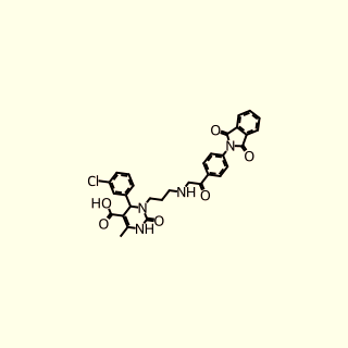 CC1=C(C(=O)O)C(c2cccc(Cl)c2)N(CCCNCC(=O)c2ccc(N3C(=O)c4ccccc4C3=O)cc2)C(=O)N1